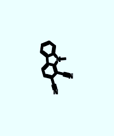 Cn1c2ccccc2c2ccc(C#N)c(C#N)c21